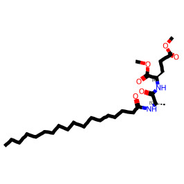 CCCCCCCCCCCCCCCCCC(=O)N[C@@H](C)C(=O)N[C@H](CCC(=O)OC)C(=O)OC